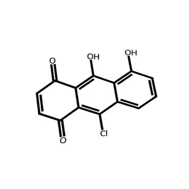 O=C1C=CC(=O)c2c1c(Cl)c1cccc(O)c1c2O